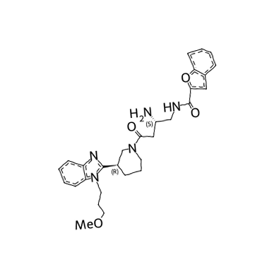 COCCCn1c([C@@H]2CCCN(C(=O)C[C@H](N)CNC(=O)c3cc4ccccc4o3)C2)nc2ccccc21